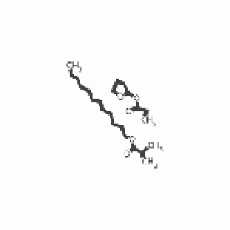 C=C(C)C(=O)OCCCCCCCCCCCC.C=CC(=O)OC1CCCO1